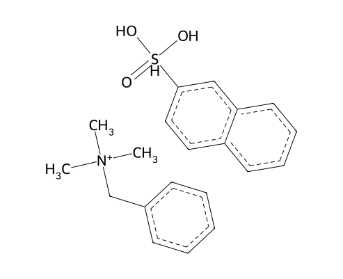 C[N+](C)(C)Cc1ccccc1.O=[SH](O)(O)c1ccc2ccccc2c1